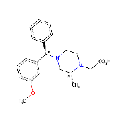 C[C@@H]1CN([C@H](c2ccccc2)c2cccc(OC(F)(F)F)c2)CCN1CC(=O)O